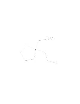 CNCC1(CCC(C)=O)SCCS1